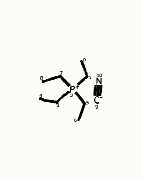 CC[P+](CC)(CC)CC.[C-]#N